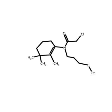 CCOCCCN(C(=O)CCl)C1=C(C)C(C)(C)CCC1